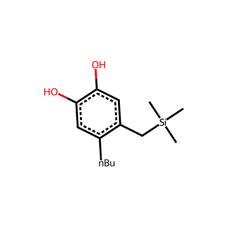 CCCCc1cc(O)c(O)cc1C[Si](C)(C)C